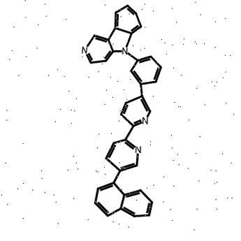 c1cc(-c2ccc(-c3ccc(-c4cccc5ccccc45)cn3)nc2)cc(-n2c3ccccc3c3cnccc32)c1